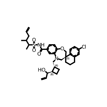 C=CCC(C)C(C)S(=O)(=O)NC(=O)c1ccc2c(c1)N(C[C@@H]1CC[C@H]1C(O)C=C)C[C@@]1(CCCc3cc(Cl)ccc31)CO2